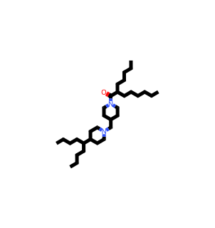 CCCCCCC(CCCCC)C(=O)N1CCC(CN2CCC(C(CCCC)CCCC)CC2)CC1